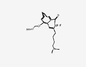 COCOc1cccc2c(=O)[nH]c(CCCCN(C)C)cc12